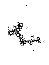 Cc1c(NS(C)(=O)=O)cccc1N(Cc1ccccc1)Cc1ccc(Oc2ccc(Cl)c(OCCCC(=O)NCCCC(=O)O)c2)cc1